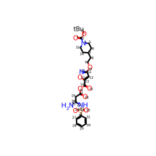 CC(C)(C)OC(=O)N1CCC(CCOc2cc(C(=O)OC(=O)C[C@@H](N)NS(=O)(=O)c3ccccc3)on2)CC1